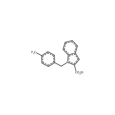 CCOC(=O)c1cc2ccccc2n1Cc1ccc(C(F)(F)F)cc1